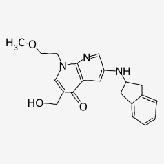 COCCn1cc(CO)c(=O)c2cc(NC3Cc4ccccc4C3)cnc21